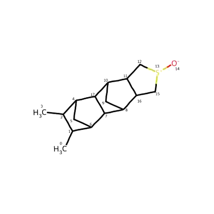 CC1C(C)C2CC1C1C3CC(C4C[S+]([O-])CC43)C21